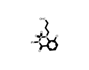 CC(C)N1C(=O)c2cccc(Cl)c2N(CCCC=O)S1(=O)=O